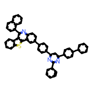 c1cccc(-c2nc(-c3ccc(-c4ccccc4)cc3)cc(-c3ccc(-c4ccc5nc(-c6cccc7ccccc67)c6c7ccccc7sc6c5c4)cc3)n2)c#1